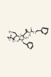 CC(C)CC(NC(=O)[C@H](Cc1ccccc1)NC(=O)C(C)NC(=O)OCc1ccccc1)C(=O)C1(C)CO1